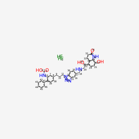 F.F.O=C(O)Nc1cc(CCCn2nnc3cc(CNC[C@H](O)c4ccc(O)c5[nH]c(=O)ccc45)ccc32)ccc1-c1ccccc1